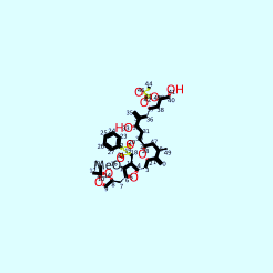 C=C1C(C[C@@H]2O[C@H](C[C@H]3COC(C)(C)O3)[C@H](OC)[C@H]2CS(=O)(=O)c2ccccc2)O[C@@H](CC[C@H](O)C(=C)C[C@@H](CCCO)OS(C)(=O)=O)C[C@H]1C